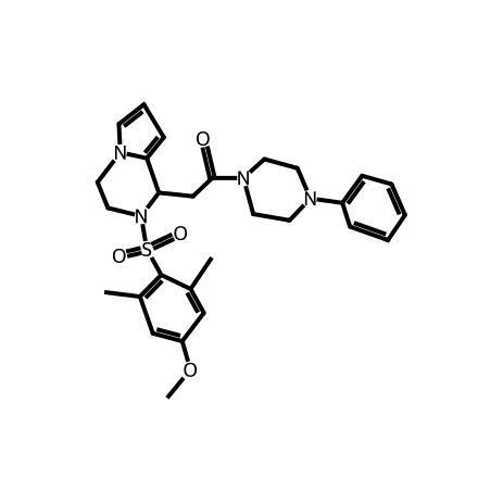 COc1cc(C)c(S(=O)(=O)N2CCn3cccc3C2CC(=O)N2CCN(c3ccccc3)CC2)c(C)c1